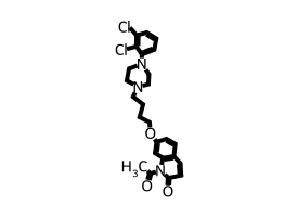 CC(=O)n1c(=O)ccc2ccc(OCCCCN3CCN(c4cccc(Cl)c4Cl)CC3)cc21